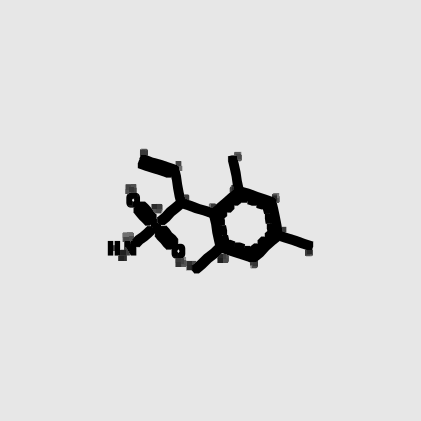 C=CC(c1c(C)cc(C)cc1C)S(N)(=O)=O